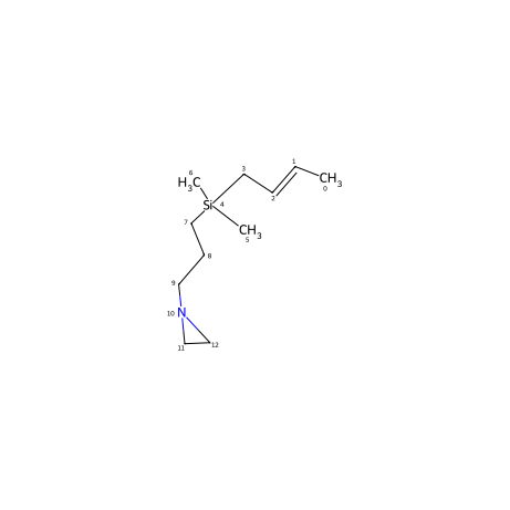 CC=CC[Si](C)(C)CCCN1CC1